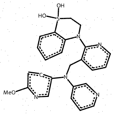 COc1ccc(N(Cc2cccnc2N2CCS(O)(O)c3ccccc32)c2cccnc2)cn1